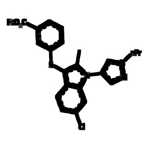 CCCn1cc(-n2c(C)c(Sc3cccc(C(=O)OCC)c3)c3ccc(Cl)cc32)cn1